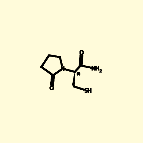 NC(=O)[C@H](CS)N1CCCC1=O